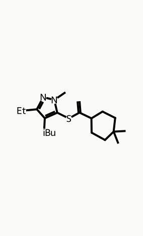 C=C(Sc1c(C(C)CC)c(CC)nn1C)C1CCC(C)(C)CC1